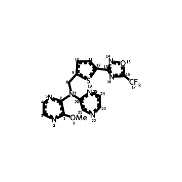 COc1nccnc1N(Cc1ccc(-c2noc(C(F)(F)F)n2)s1)c1cnccn1